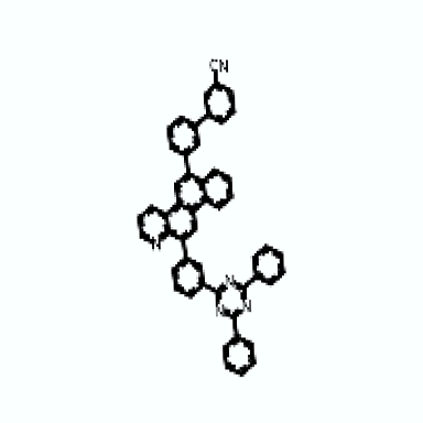 N#Cc1cccc(-c2cccc(-c3cc4c5cccnc5c(-c5cccc(-c6nc(-c7ccccc7)nc(-c7ccccc7)n6)c5)cc4c4ccccc34)c2)c1